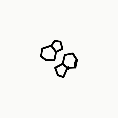 C1=CN2CCCC2CC1.C1CCC2CCCC2C1